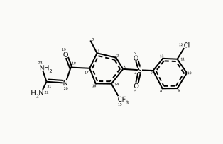 Cc1cc(S(=O)(=O)c2cccc(Cl)c2)c(C(F)(F)F)cc1C(=O)N=C(N)N